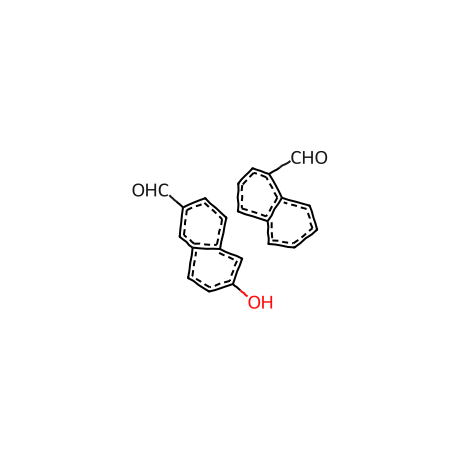 O=Cc1ccc2cc(O)ccc2c1.O=Cc1cccc2ccccc12